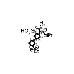 CCS(=O)(=O)c1cccc(-c2ccc3c(c2)N(C(=O)O)C[C@H](C)N3C(=O)CC(C)C)c1